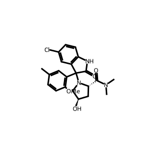 COc1ccc(C)cc1C1(N2C[C@H](O)C[C@H]2C(=O)N(C)C)C(=O)Nc2ccc(Cl)cc21